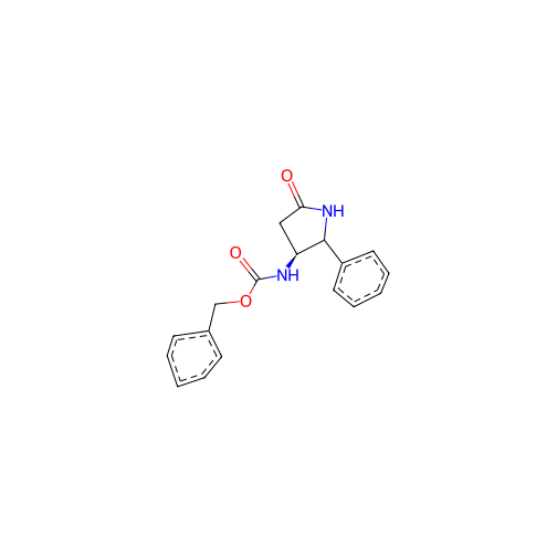 O=C1C[C@H](NC(=O)OCc2ccccc2)C(c2ccccc2)N1